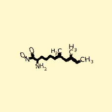 C=C(CCCCC(N)C(=O)N=O)C/C(C)=C/C